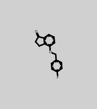 O=C1CCc2c(OCc3ccc(F)cc3)cccc21